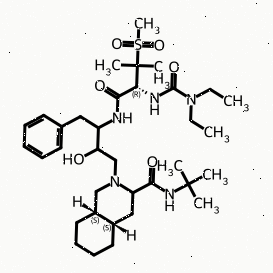 CCN(CC)C(=O)N[C@H](C(=O)NC(Cc1ccccc1)C(O)CN1C[C@H]2CCCC[C@H]2CC1C(=O)NC(C)(C)C)C(C)(C)S(C)(=O)=O